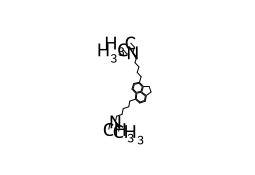 CCN(CC)CCCCCc1ccc2c(CCCCCN(CC)CC)ccc3c2c1CC3